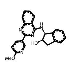 COc1ccc(-c2nc(N[C@H]3c4ccccc4C[C@H]3O)c3ccccc3n2)cn1